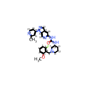 COc1cccc(F)c1CN1CCC[C@@H](NC(=O)Nc2cc3cnn(-c4ccnc(C)c4)c3cn2)C1